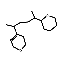 CC(CCC(C)C1CCCCO1)C1=CCOCC1